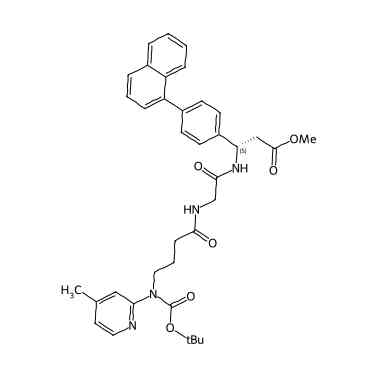 COC(=O)C[C@H](NC(=O)CNC(=O)CCCN(C(=O)OC(C)(C)C)c1cc(C)ccn1)c1ccc(-c2cccc3ccccc23)cc1